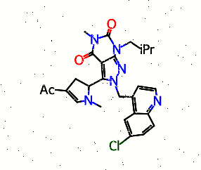 CC(=O)C1=CN(C)C(c2c3c(=O)n(C)c(=O)n(CC(C)C)c3nn2Cc2ccnc3ccc(Cl)cc23)C1